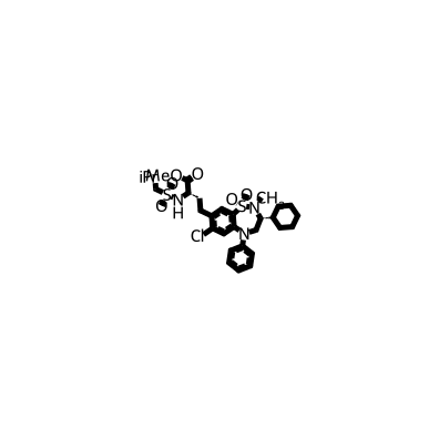 COC(=O)[C@H](CCc1cc2c(cc1Cl)N(c1ccccc1)C[C@@H](C1CCCCC1)N(C)S2(=O)=O)NS(=O)(=O)CC(C)C